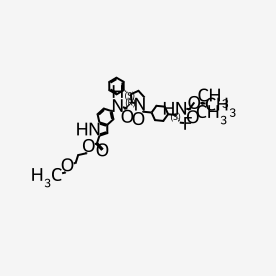 CCOCCCOC(=O)c1cc2cc(NC(=O)[C@H]3[C@H](c4ccccc4)CCN3C(=O)C3CCC([C@@H](CF)NC(=O)OC(C)(C)C)CC3)ccc2[nH]1